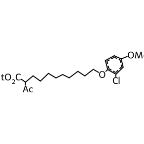 CCOC(=O)C(CCCCCCCCCOc1ccc(OC)cc1Cl)C(C)=O